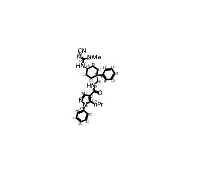 CCCc1c(C(=O)NC[C@]2(c3ccccc3)CC[C@H](N/C(=N/C#N)NC)CC2)cnn1-c1ccccc1